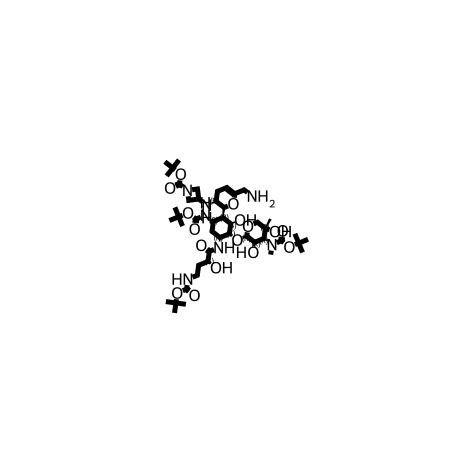 CN(C(=O)OC(C)(C)C)[C@@H]1[C@@H](O)[C@@H](O[C@@H]2[C@@H](O)[C@H](C3OC(CN)=CC[C@H]3NC3CN(C(=O)OC(C)(C)C)C3)[C@@H](NC(=O)OC(C)(C)C)C[C@H]2NC(=O)[C@@H](O)CCNC(=O)OC(C)(C)C)OC[C@]1(C)O